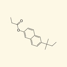 CCC(=O)Oc1ccc2cc(C(C)(C)CC)ccc2c1